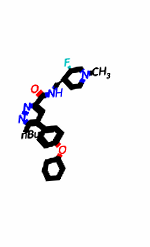 CCCCc1nnc(C(=O)NC[C@@H]2CCN(C)C[C@@H]2F)cc1-c1ccc(OC2CCCCC2)cc1